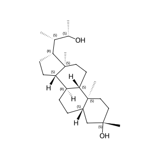 C[C@H]([C@H](C)O)[C@H]1CC[C@H]2[C@@H]3CC[C@H]4C[C@@](C)(O)CC[C@]4(C)[C@H]3CC[C@]12C